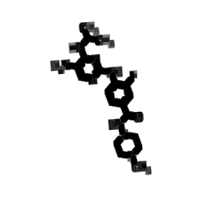 CC(C)Nc1nc(Nc2ccc(C(=O)NN3CCN(C)CC3)cc2F)ncc1N